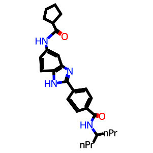 CCCC(CCC)NC(=O)c1ccc(-c2nc3cc(NC(=O)C4CCCC4)ccc3[nH]2)cc1